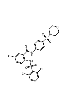 O=C(Nc1ccc(S(=O)(=O)N2CCOCC2)cc1)c1cc(Cl)ccc1NS(=O)(=O)c1c(Cl)cccc1Cl